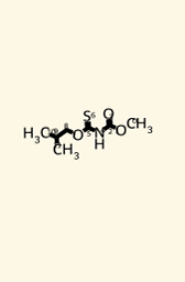 COC(=O)NC(=S)OCC(C)C